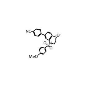 COc1ccc(S(=O)(=O)N2CC[S+]([O-])c3ccc(-c4ccc(C#N)cc4)cc32)cc1